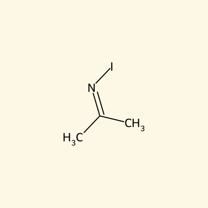 CC(C)=NI